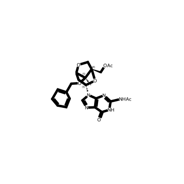 CC(=O)Nc1nc2c(ncn2[C@@H]2CC3OC[C@](COC(C)=O)(O2)[C@H]3OCc2ccccc2)c(=O)[nH]1